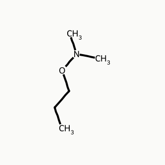 CCCON(C)C